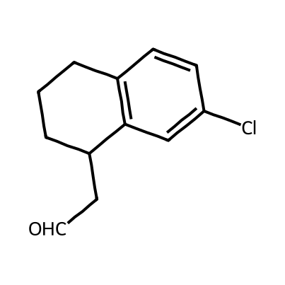 O=CCC1CCCc2ccc(Cl)cc21